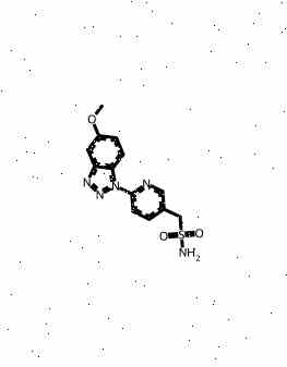 COc1ccc2c(c1)nnn2-c1ccc(CS(N)(=O)=O)cn1